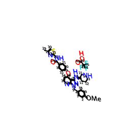 COc1ccc(Cn2nc(N[C@@H]3CCCNC3)c3c(Oc4ccc(C(=O)Nc5nc(C)cs5)cc4)ccnc32)cc1.O=C(O)C(F)(F)F